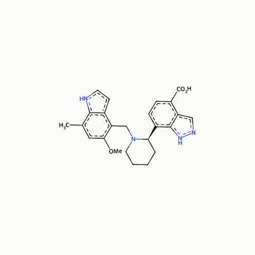 COc1cc(C)c2[nH]ccc2c1CN1CCCC[C@@H]1c1ccc(C(=O)O)c2cn[nH]c12